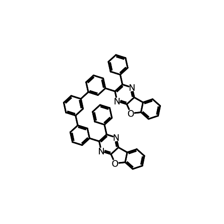 c1ccc(-c2nc3c(nc2-c2cccc(-c4cccc(-c5cccc(-c6nc7oc8ccccc8c7nc6-c6ccccc6)c5)c4)c2)oc2ccccc23)cc1